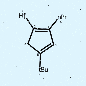 CCCC1=[C]([Hf])CC(C(C)(C)C)=C1